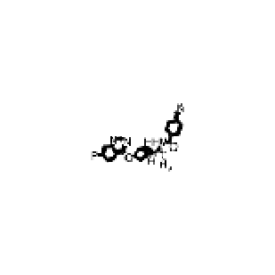 C[C@H](NC(=O)c1ccc(C#N)cc1)[C@H]1[C@@H]2C[C@@H](Oc3ncnc4cc(F)ccc34)C[C@@H]21